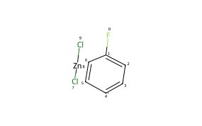 Fc1cc[c]cc1.[Cl][Zn][Cl]